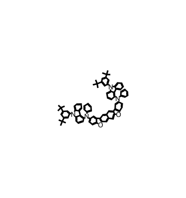 CC(C)(C)c1cc(-n2c3ccccc3c3c(N(c4ccccc4)c4ccc5oc6cc7cc8oc9ccc(N(c%10ccccc%10)c%10cccc%11c%10c%10ccccc%10n%11-c%10cc(C(C)(C)C)cc(C(C)(C)C)c%10)cc9c8cc7cc6c5c4)cccc32)cc(C(C)(C)C)c1